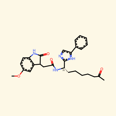 COc1ccc2c(c1)C(CC(=O)N[C@@H](CCCCCC(C)=O)c1ncc(-c3ccccc3)[nH]1)C(=O)N2